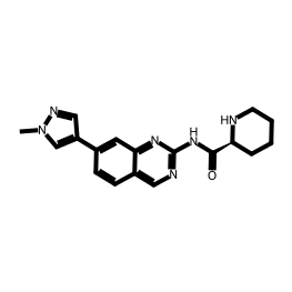 Cn1cc(-c2ccc3cnc(NC(=O)[C@@H]4CCCCN4)nc3c2)cn1